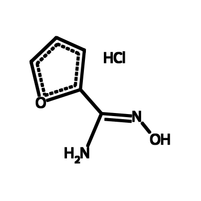 Cl.NC(=NO)c1ccco1